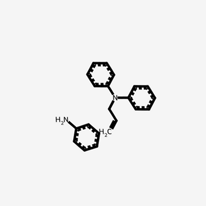 C=CCN(c1ccccc1)c1ccccc1.Nc1ccccc1